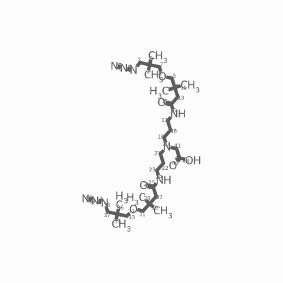 CC(C)(CN=[N+]=[N-])COCC(C)(C)CC(=O)NCCCN(CCCNC(=O)CC(C)(C)COCC(C)(C)CN=[N+]=[N-])CC(=O)O